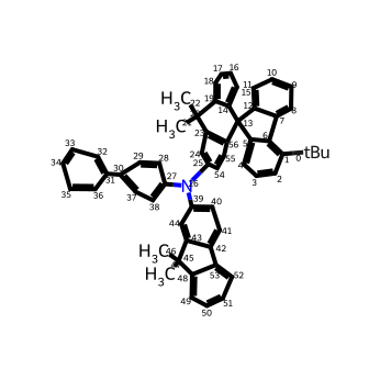 CC(C)(C)c1cccc2c1-c1ccccc1C21c2ccccc2C(C)(C)c2cc(N(c3ccc(-c4ccccc4)cc3)c3ccc4c(c3)C(C)(C)c3ccccc3-4)ccc21